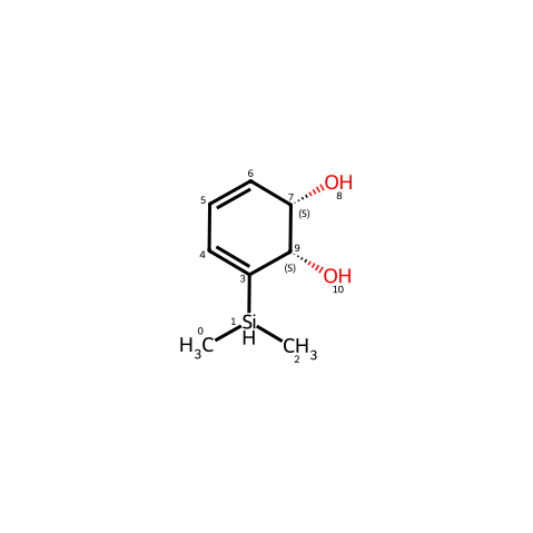 C[SiH](C)C1=CC=C[C@H](O)[C@@H]1O